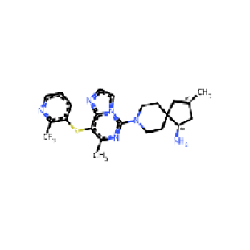 Cc1nc(N2CCC3(CC2)C[C@@H](C)C[C@H]3N)n2ccnc2c1Sc1cccnc1C(F)(F)F